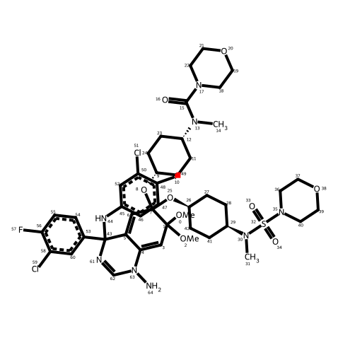 COC1(OC)C=C2C(=CC1(O[C@H]1CC[C@@H](N(C)C(=O)N3CCOCC3)CC1)O[C@H]1CC[C@@H](N(C)S(=O)(=O)N3CCOCC3)CC1)C(Nc1ccc(F)c(Cl)c1)(c1ccc(F)c(Cl)c1)N=CN2N